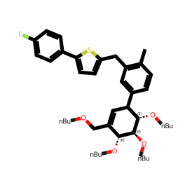 CCCCOCC1=CC(c2ccc(C)c(Cc3ccc(-c4ccc(F)cc4)s3)c2)[C@H](OCCCC)[C@@H](OCCCC)[C@@H]1OCCCC